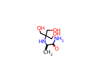 C=C(NC(CO)(CO)CO)C(N)=O